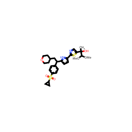 COC(OC)C(C)(O)c1cnc(-c2ccc(C(CC3CCOCC3)c3ccc(S(=O)(=O)C4CC4)cc3)[nH]2)s1